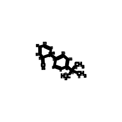 CC(C)(C)c1ccc(-n2ccccc2=O)cc1